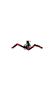 CCCCCC/C=C\CCCCCCCC(=O)O[C@H](CO/C=C\CCCCCC/C=C\CCCCCCCC)COP(=O)([O-])OCC[N+](C)(C)C